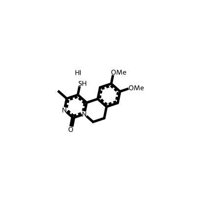 COc1cc2c(cc1OC)-c1c(S)c(C)nc(=O)n1CC2.I